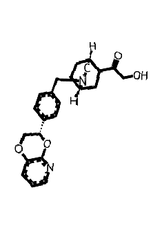 O=C(CO)C1C[C@@H]2CC[C@H]1CN2Cc1ccc([C@H]2COc3cccnc3O2)cc1